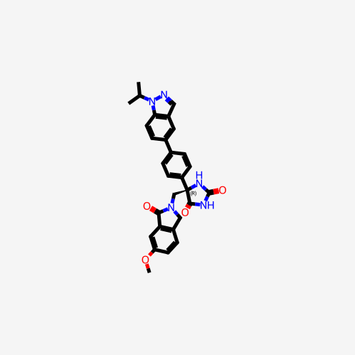 COc1ccc2c(c1)C(=O)N(C[C@@]1(c3ccc(-c4ccc5c(cnn5C(C)C)c4)cc3)NC(=O)NC1=O)C2